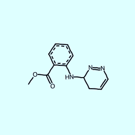 COC(=O)c1ccccc1NC1CC=CN=N1